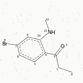 CCC(=O)c1ccc(Br)cc1NC